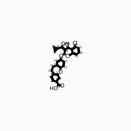 O=C(O)c1ccc2c(c1)Oc1ccc(OCc3c(-c4c(Cl)cccc4Cl)noc3C3CC3)cc1CC2